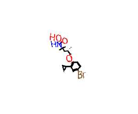 C[C@H](COc1ccc(Br)cc1C1CC1)CC(C)(C)NC(=O)O